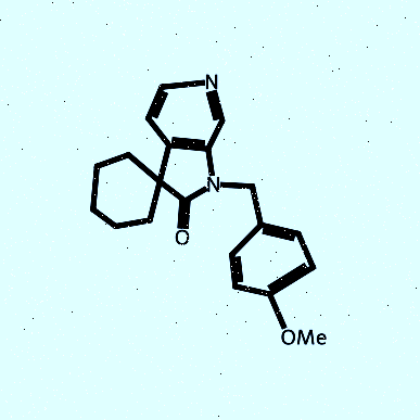 COc1ccc(CN2C(=O)C3(CCCCC3)c3ccncc32)cc1